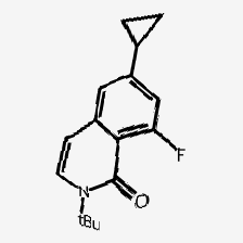 CC(C)(C)n1ccc2cc(C3CC3)cc(F)c2c1=O